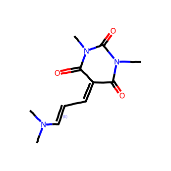 CN(C)/C=C/C=C1C(=O)N(C)C(=O)N(C)C1=O